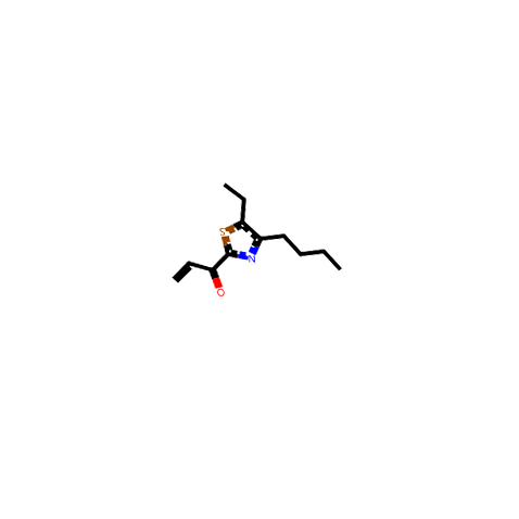 C=CC(=O)c1nc(CCCC)c(CC)s1